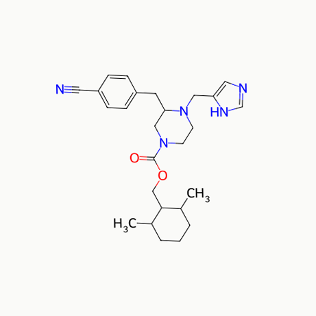 CC1CCCC(C)C1COC(=O)N1CCN(Cc2cnc[nH]2)C(Cc2ccc(C#N)cc2)C1